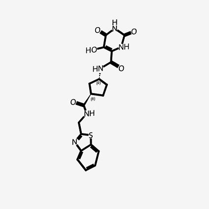 O=C(N[C@@H]1CC[C@@H](C(=O)NCc2nc3ccccc3s2)C1)c1[nH]c(=O)[nH]c(=O)c1O